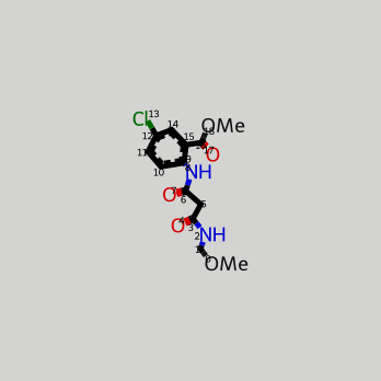 COCNC(=O)CC(=O)Nc1ccc(Cl)cc1C(=O)OC